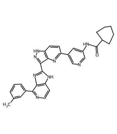 Cc1cccc(-c2nccc3[nH]c(-c4n[nH]c5ccc(-c6cncc(NC(=O)C7CCCCC7)c6)nc45)nc23)c1